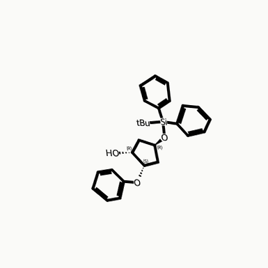 CC(C)(C)[Si](O[C@@H]1C[C@@H](O)[C@@H](Oc2ccccc2)C1)(c1ccccc1)c1ccccc1